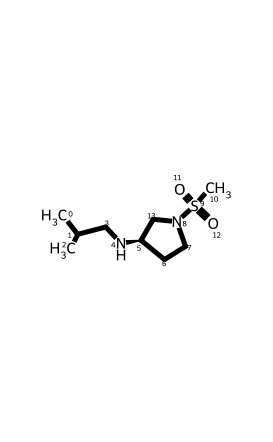 CC(C)CN[C@@H]1CCN(S(C)(=O)=O)C1